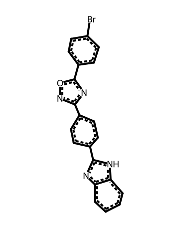 Brc1ccc(-c2nc(-c3ccc(-c4nc5ccccc5[nH]4)cc3)no2)cc1